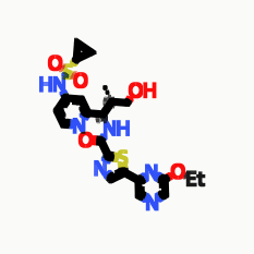 CCOc1cncc(-c2cnc(C(=O)N[C@H](c3cc(NS(=O)(=O)C4CC4)ccn3)[C@H](C)CO)s2)n1